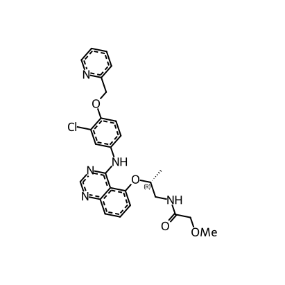 COCC(=O)NC[C@@H](C)Oc1cccc2ncnc(Nc3ccc(OCc4ccccn4)c(Cl)c3)c12